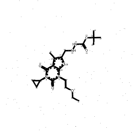 CCOCCn1c(=O)n(C2CC2)c(=O)c2c(C)c(CNNC(=O)OC(C)(C)C)sc21